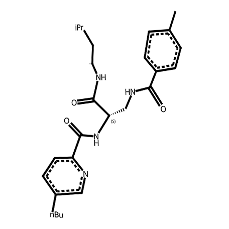 CCCCc1ccc(C(=O)N[C@@H](CNC(=O)c2ccc(C)cc2)C(=O)N[CH]CC(C)C)nc1